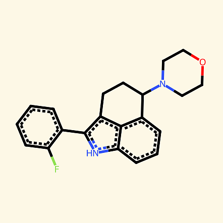 Fc1ccccc1-c1[nH]c2cccc3c2c1CCC3N1CCOCC1